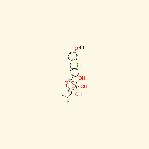 CCOc1ccc(Cc2cc([C@]34OC[C@](CC(F)F)(O3)[C@@H](O)[C@H](O)[C@H]4O)ccc2Cl)cc1